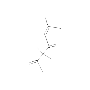 C=C(C)C(C)(C)C(=O)C=C(C)C